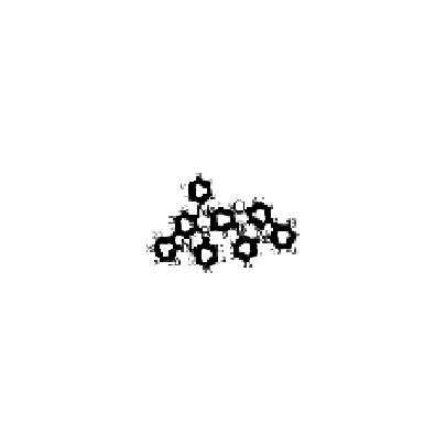 c1ccc(N2c3cc4c(cc3B3c5ccccc5-n5c6ccccc6c6ccc2c3c65)B2c3ccccc3-n3c5ccccc5c5ccc(c2c53)O4)cc1